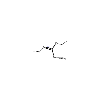 C=C=N/C(=N\C=C)OCC